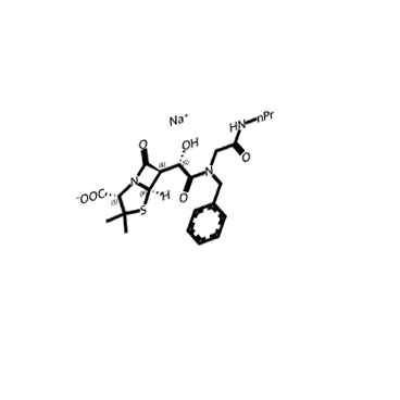 CCCNC(=O)CN(Cc1ccccc1)C(=O)[C@@H](O)[C@@H]1C(=O)N2[C@@H]1SC(C)(C)[C@@H]2C(=O)[O-].[Na+]